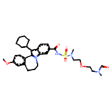 COc1ccc2c(c1)CCCn1c-2c(C2CCCCC2)c2ccc(C(=O)NS(=O)(=O)N(C)CCOCCN(C)C=O)cc21